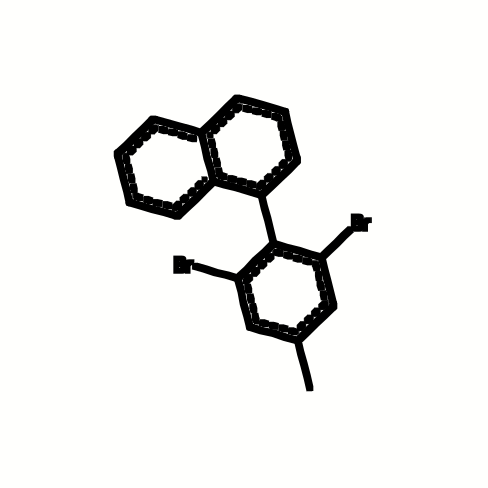 Cc1cc(Br)c(-c2cccc3ccccc23)c(Br)c1